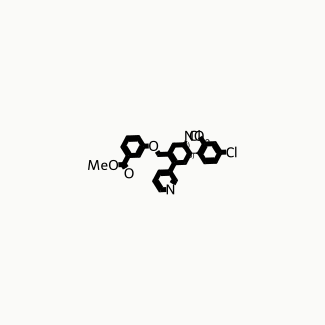 COC(=O)c1cccc(OCC2=C(c3cccnc3)C[C@@H](c3ccc(Cl)cc3Cl)[C@H]([N+](=O)[O-])C2)c1